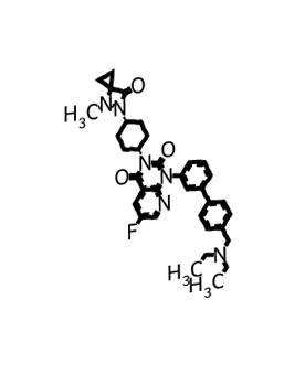 CCN(CC)Cc1ccc(-c2cccc(-n3c(=O)n([C@H]4CC[C@@H](N5C(=O)C6(CC6)N5C)CC4)c(=O)c4cc(F)cnc43)c2)cc1